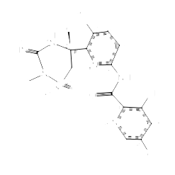 CN1C(=N)N[C@](C)(c2nc(NC(=O)c3ncc(Cl)cc3Cl)ccc2F)CS1(=O)=O